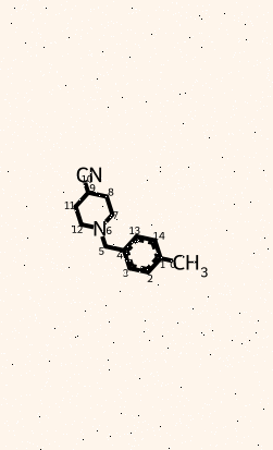 Cc1ccc(CN2CCC(C#N)CC2)cc1